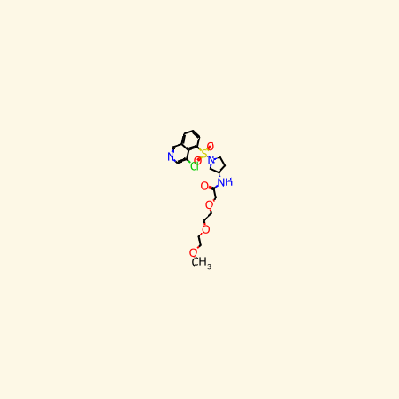 COCCOCCOCC(=O)N[C@H]1CCN(S(=O)(=O)c2cccc3cncc(Cl)c23)C1